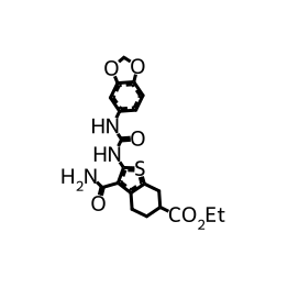 CCOC(=O)C1CCc2c(sc(NC(=O)Nc3ccc4c(c3)OCO4)c2C(N)=O)C1